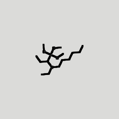 CCCCCCN(CC)C(CC)[Si](OC)(OC)OC